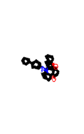 c1ccc(-c2ccc(N(c3ccccc3)c3cccc4oc5ccc6oc7c8ccccc8ccc7c6c5c34)cc2)cc1